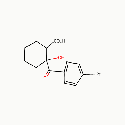 CC(C)c1ccc(C(=O)C2(O)CCCCC2C(=O)O)cc1